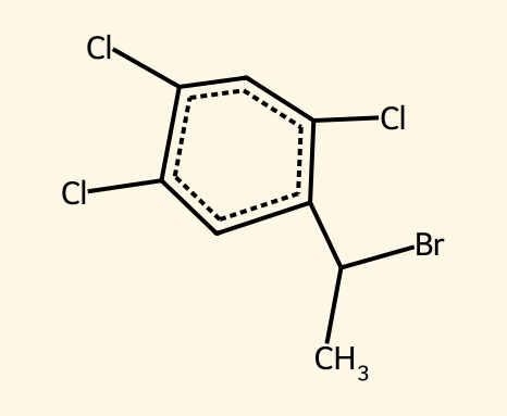 CC(Br)c1cc(Cl)c(Cl)cc1Cl